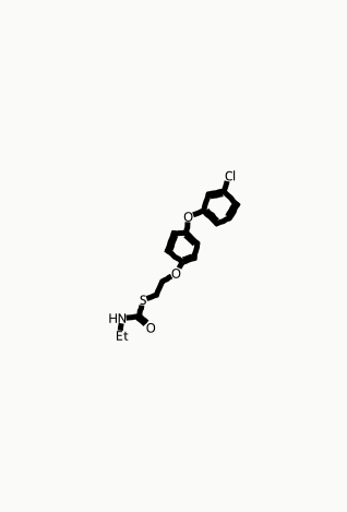 CCNC(=O)SCCOc1ccc(Oc2cccc(Cl)c2)cc1